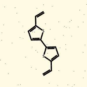 C=Cc1ccc(-c2ccc(C=C)s2)s1